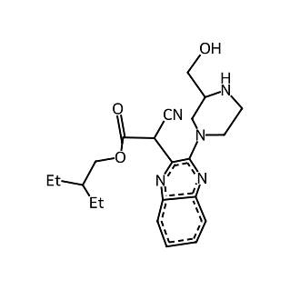 CCC(CC)COC(=O)C(C#N)c1nc2ccccc2nc1N1CCNC(CO)C1